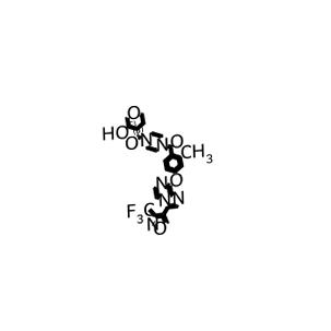 Cc1cc(Oc2nccn3c(-c4conc4C(F)(F)F)cnc23)ccc1C(=O)N1CCN(C(=O)[C@H]2CCOC[C@H]2O)CC1